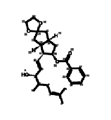 CC(C)=CCC(C)[C@H](O)/C=C/[C@@H]1[C@H]2CC3(C[C@H]2C[C@H]1OC(=O)c1ccccc1)OCCO3